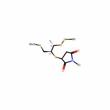 CCN1C(=O)CC(S[C@@H](CSSC)[C@H](C)SSC(C)C)C1=O